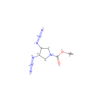 CC(C)(C)OC(=O)N1CC(N=[N+]=[N-])C(N=[N+]=[N-])C1